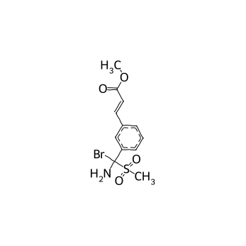 COC(=O)/C=C/c1cccc(C(N)(Br)S(C)(=O)=O)c1